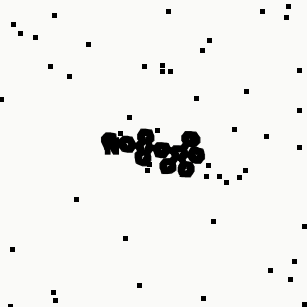 c1ccc(-c2cc(-c3ccc(-c4c5ccccc5c(-c5ccc(-c6ccccn6)cc5)c5ccccc45)cc3)c(-c3ccccc3)c(-c3ccccc3)c2-c2ccccc2)cc1